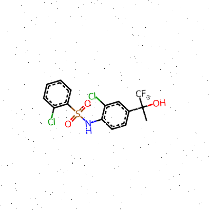 CC(O)(c1ccc(NS(=O)(=O)c2ccccc2Cl)c(Cl)c1)C(F)(F)F